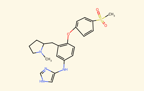 CN1CCCC1Cc1cc(Nc2c[nH]cn2)ccc1Oc1ccc(S(C)(=O)=O)cc1